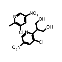 Cc1ncc([N+](=O)[O-])cc1Cl.O=[N+]([O-])c1cnc(C(CO)CO)c(Cl)c1